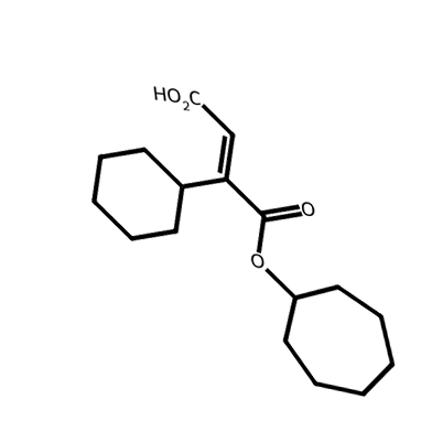 O=C(O)/C=C(/C(=O)OC1CCCCCC1)C1CCCCC1